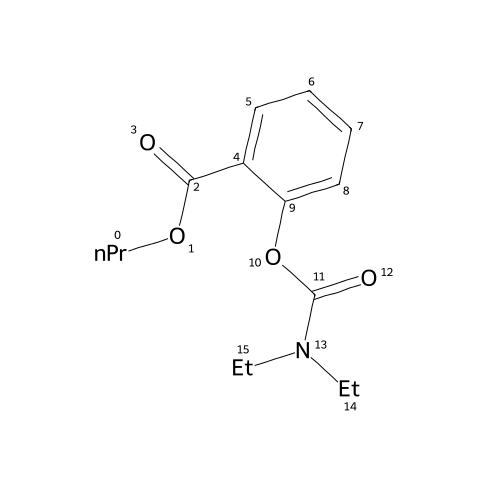 CCCOC(=O)c1ccccc1OC(=O)N(CC)CC